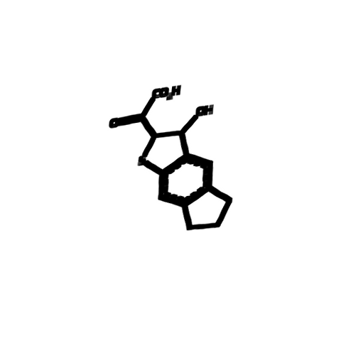 O=C(O)C(=O)C1Sc2cc3c(cc2C1O)CCC3